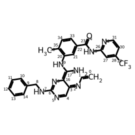 C=C/N=C1/C=NC(NCc2ccccc2)=N/C1=C(/N)Nc1cc(C(=O)Nc2cc(C(F)(F)F)ccn2)ccc1C